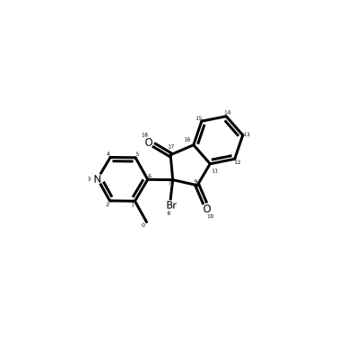 Cc1cnccc1C1(Br)C(=O)c2ccccc2C1=O